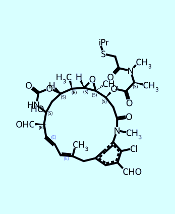 C/C1=C\C=C\[C@@H](C=O)[C@@]2(O)C[C@H](OC(=O)N2)[C@@H](C)[C@@H]2O[C@@]2(C)[C@@H](OC(=O)[C@H](C)N(C)C(=O)CSC(C)C)CC(=O)N(C)c2cc(cc(C=O)c2Cl)C1